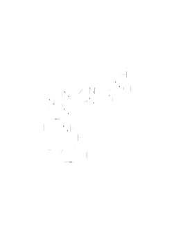 CN(C)C(=O)Cn1cc(Nc2ncc(F)c(NCc3c(F)ccc(F)c3F)n2)cn1